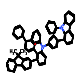 CC1(C)c2ccccc2-c2ccc(-c3cccc(N(c4ccccc4)c4ccc(-c5cccc6c7ccccc7n(-c7ccccc7)c56)cc4)c3-c3ccc(-c4ccccc4)cc3)cc21